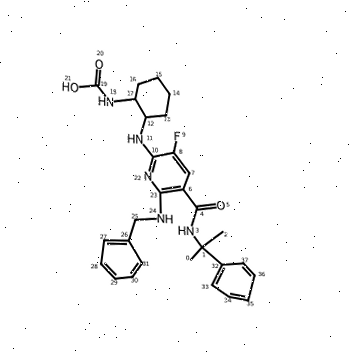 CC(C)(NC(=O)c1cc(F)c(NC2CCCCC2NC(=O)O)nc1NCc1ccccc1)c1ccccc1